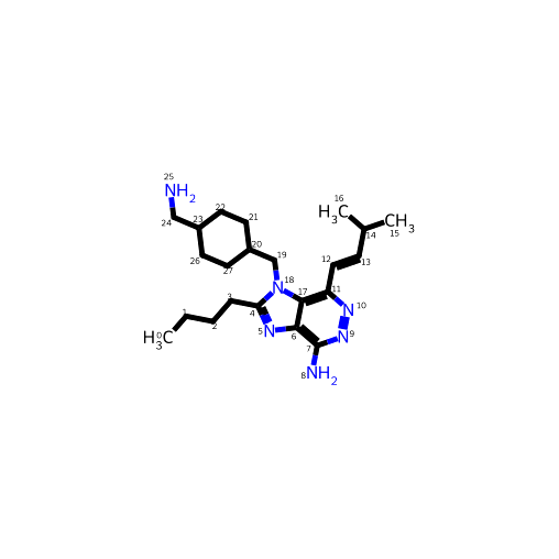 CCCCc1nc2c(N)nnc(/C=C/C(C)C)c2n1CC1CCC(CN)CC1